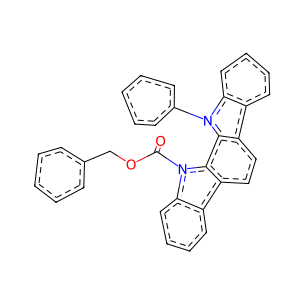 O=C(OCc1ccccc1)n1c2ccccc2c2ccc3c4ccccc4n(-c4ccccc4)c3c21